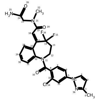 Cc1ccn(-c2ccc(C(=O)N3CCC(F)(F)/C(=C\C(=O)N(C)CC(N)=O)c4ccccc43)c(Cl)c2)n1